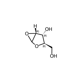 OC[C@H]1OC2O[C@@H]2[C@@H]1O